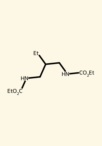 CCOC(=O)NCC(CC)CNC(=O)OCC